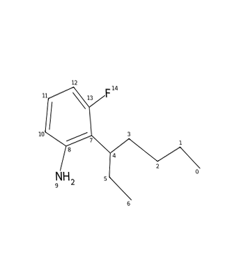 CCCCC(CC)c1c(N)cccc1F